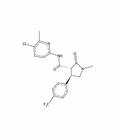 Cc1nc(NC(=O)[C@@H]2C(=O)N(C)C[C@H]2c2ccc(C(F)(F)F)cc2)ccc1Cl